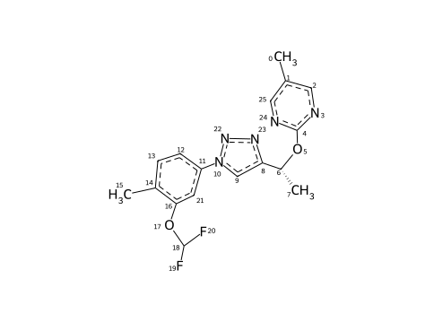 Cc1cnc(O[C@H](C)c2cn(-c3ccc(C)c(OC(F)F)c3)nn2)nc1